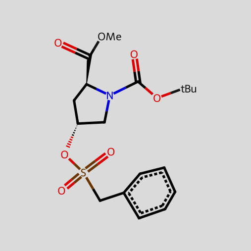 COC(=O)[C@@H]1C[C@@H](OS(=O)(=O)Cc2ccccc2)CN1C(=O)OC(C)(C)C